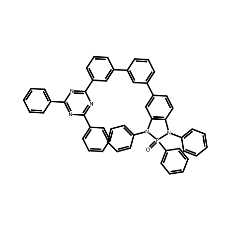 O=P1(c2ccccc2)N(c2ccccc2)c2ccc(-c3cccc(-c4cccc(-c5nc(-c6ccccc6)nc(-c6ccccc6)n5)c4)c3)cc2N1c1ccccc1